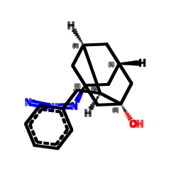 [N-]=[N+]=N[C@]12C[C@@H]3C[C@H](C1)[C@H]([CH]c1ccccc1)[C@@](O)(C3)C2